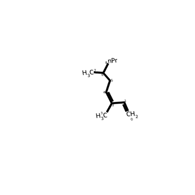 C=CC(C)=CCC(C)CCC